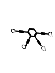 ClC#Cc1ccc(C#CCl)c(C#CCl)c1C#CCl